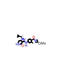 COC1CN(C(=O)c2ccc(Nc3nn([C@@H](C)C4CC4)c4cc[nH]c(=O)c34)cc2C)C1